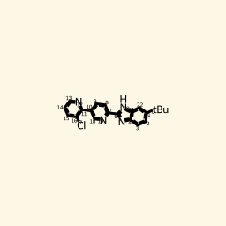 CC(C)(C)c1ccc2nc(-c3ccc(-c4ncccc4Cl)cn3)[nH]c2c1